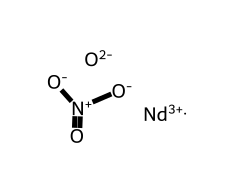 O=[N+]([O-])[O-].[Nd+3].[O-2]